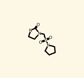 O=C1[N]CCN1CS(=O)(=O)N1CCCC1